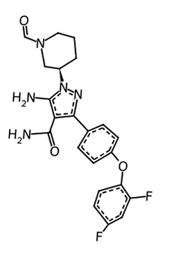 NC(=O)c1c(-c2ccc(Oc3ccc(F)cc3F)cc2)nn([C@@H]2CCCN(C=O)C2)c1N